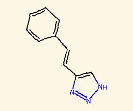 [C](=Cc1ccccc1)c1c[nH]nn1